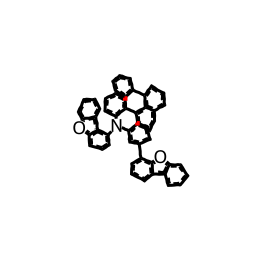 c1ccc(-c2cccc3cccc(-c4ccccc4N(c4cccc(-c5cccc6c5oc5ccccc56)c4)c4cccc5oc6ccccc6c45)c23)cc1